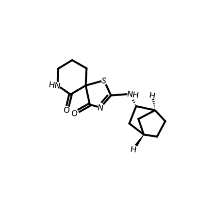 O=C1N=C(N[C@H]2C[C@H]3CC[C@H]2C3)SC12CCCNC2=O